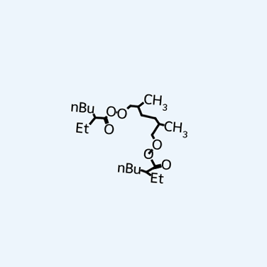 CCCCC(CC)C(=O)OOCC(C)CCC(C)COOC(=O)C(CC)CCCC